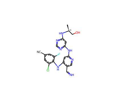 C[C@@H](CO)Nc1cc(Nc2cc(Nc3c(F)cc(C#N)cc3Cl)c(C=N)cn2)ncn1